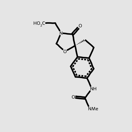 CNC(=O)Nc1ccc2c(c1)CC[C@@]21OCN(CC(=O)O)C1=O